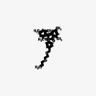 C=CCOCCOCc1ccc(P(=O)(C(=O)c2c(C)cc(C)cc2C)C(=O)c2c(C)cc(C)cc2C)cc1